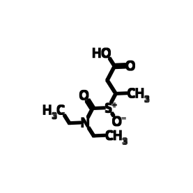 CCN(CC)C(=O)[S+]([O-])C(C)CC(=O)O